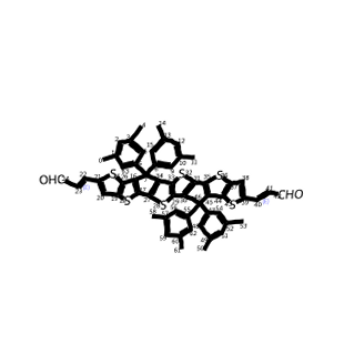 Cc1cc(C)cc(C2(c3cc(C)cc(C)c3)c3c(sc4cc(/C=C/C=O)sc34)-c3sc4c5c(sc4c32)-c2sc3cc(/C=C/C=O)sc3c2C5(c2cc(C)cc(C)c2)c2cc(C)cc(C)c2)c1